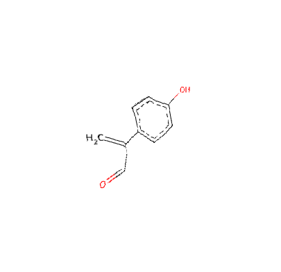 C=C(C=O)c1ccc(O)cc1